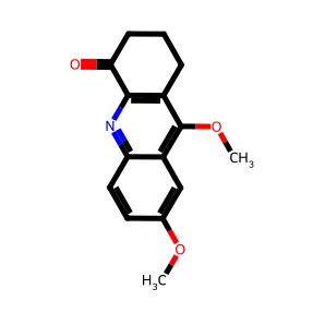 COc1ccc2nc3c(c(OC)c2c1)CCCC3=O